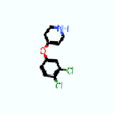 Clc1ccc(OC2=CCNCC2)cc1Cl